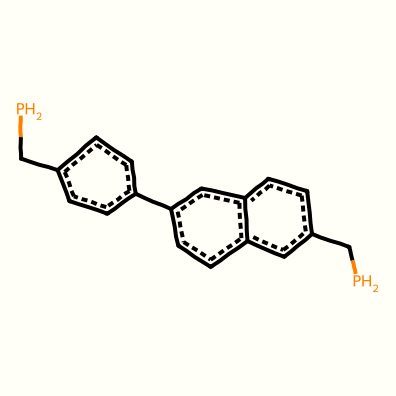 PCc1ccc(-c2ccc3cc(CP)ccc3c2)cc1